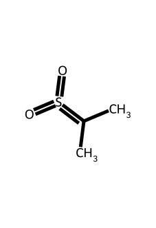 CC(C)=S(=O)=O